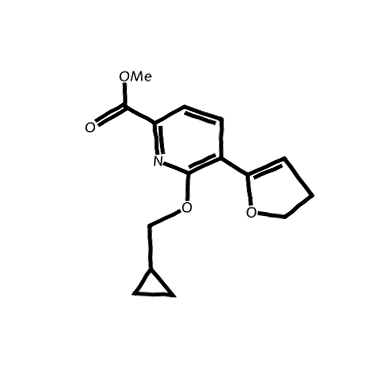 COC(=O)c1ccc(C2=CCCO2)c(OCC2CC2)n1